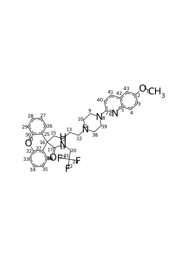 COc1ccc2nc(N3CCN(CCCCC4(C(=O)NCC(F)(F)F)c5ccccc5Oc5ccccc54)CC3)ccc2c1